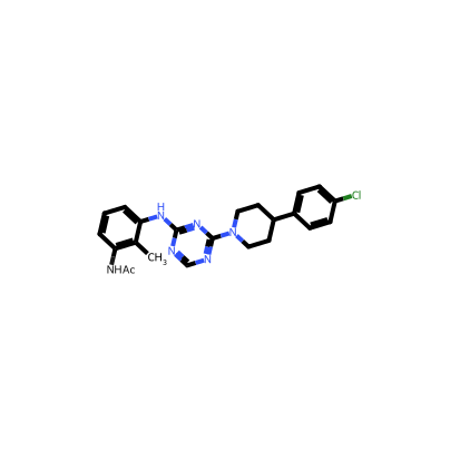 CC(=O)Nc1cccc(Nc2ncnc(N3CCC(c4ccc(Cl)cc4)CC3)n2)c1C